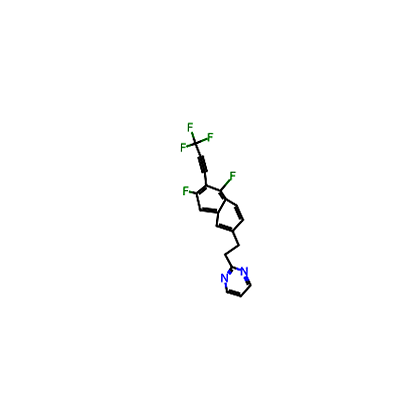 Fc1cc2cc(CCc3ncccn3)ccc2c(F)c1C#CC(F)(F)F